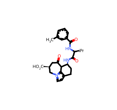 Cc1cccc(C(=O)NC(C(=O)N[C@H]2CCc3ccn4c3C2C(=O)C[C@H](C(=O)O)C4)C(C)C)c1